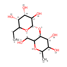 CC(=O)OCC1O[C@@H](O[C@@H]2C(CO)OC(C)C(O)[C@H]2O)C(O)[C@@H](O)[C@H]1O